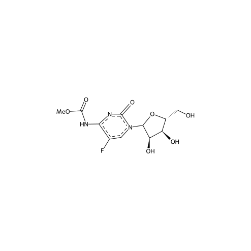 COC(=O)Nc1nc(=O)n(C2O[C@H](CO)[C@@H](O)[C@H]2O)cc1F